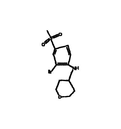 CS(=O)(=O)c1ccc(NC2CCOCC2)c(Br)c1